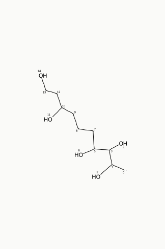 [CH2]C(O)C(O)C(O)CCCC(O)CCO